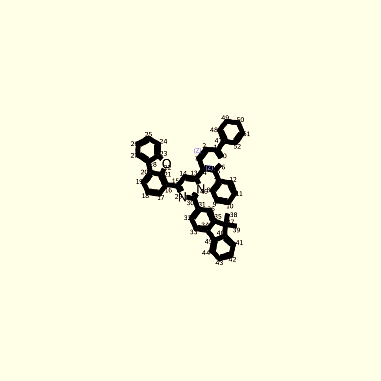 C=C(/C=C\C(=C(/C)c1ccccc1)c1cc(-c2cccc3c2oc2ccccc23)nc(-c2ccc3c(c2)C(C)(C)c2ccccc2-3)n1)C1=CCCC=C1